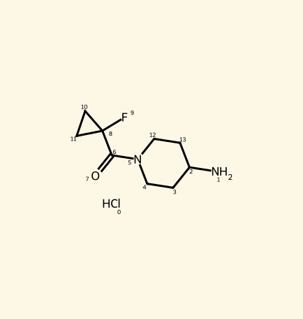 Cl.NC1CCN(C(=O)C2(F)CC2)CC1